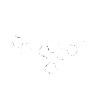 COc1ccc(CN(Sc2c(F)cc(NCc3cc(F)ccc3Cl)cc2F)c2ccncn2)c(OC)c1